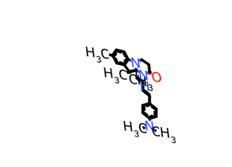 Cc1ccc2c(c1)C(C)(C)[C@@]1(/C=C/C=C/c3ccc(N(C)C)cc3)NC(=O)CCN21